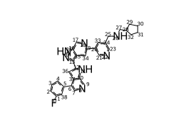 Fc1cccc(-c2cncc3[nH]c(-c4n[nH]c5cnc(-c6cncc(CNCC7CCCC7)c6)cc45)cc23)c1